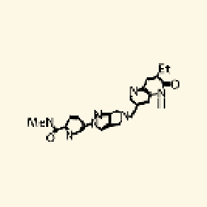 CCc1cc2ncc(CN3Cc4cn(-c5ccc(C(=O)NC)nc5)nc4C3)cc2[nH]c1=O